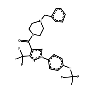 O=C(c1cn(-c2ccc(OC(F)(F)F)cc2)nc1C(F)(F)F)N1CCN(Cc2ccccc2)CC1